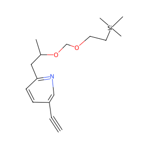 C#Cc1ccc(CC(C)OCOCC[Si](C)(C)C)nc1